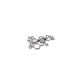 C[N+]1(CC2CC2)CC[C@@]23C4=C(O)C(=O)C=CC4=C[C@@H]1[C@]2(O)CCC(=O)[C@@H]3O